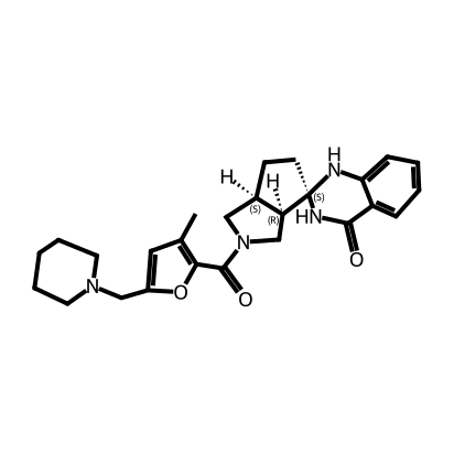 Cc1cc(CN2CCCCC2)oc1C(=O)N1C[C@H]2CC[C@]3(NC(=O)c4ccccc4N3)[C@H]2C1